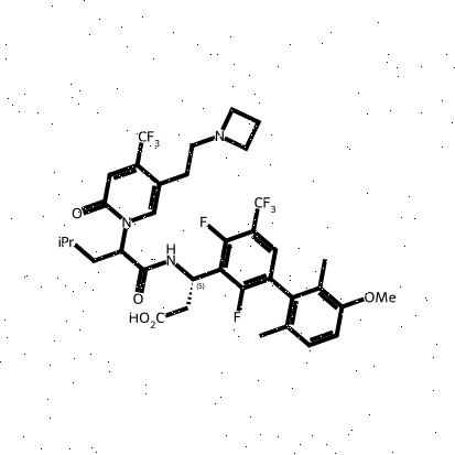 COc1ccc(C)c(-c2cc(C(F)(F)F)c(F)c([C@H](CC(=O)O)NC(=O)C(CC(C)C)n3cc(CCN4CCC4)c(C(F)(F)F)cc3=O)c2F)c1C